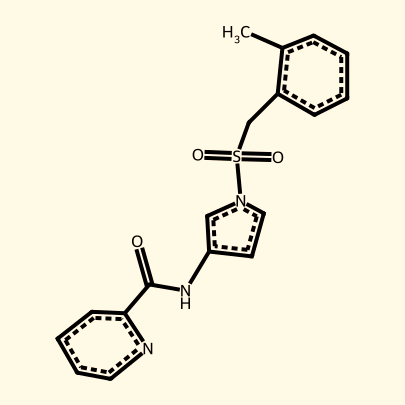 Cc1ccccc1CS(=O)(=O)n1ccc(NC(=O)c2ccccn2)c1